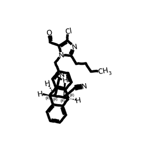 CCCCc1nc(Cl)c(C=O)n1Cc1ccc2c(c1)[C@H]1c3ccccc3[C@H]2[C@@H](C#N)[C@@H]1C#N